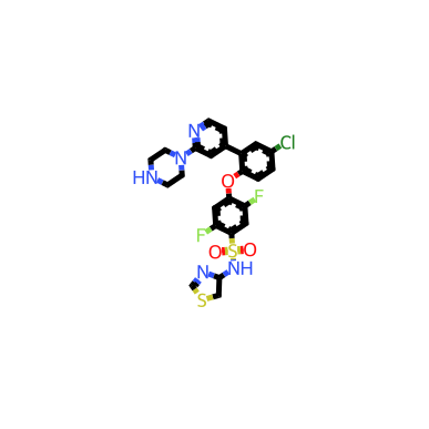 O=S(=O)(NC1CSC=N1)c1cc(F)c(Oc2ccc(Cl)cc2-c2ccnc(N3CCNCC3)c2)cc1F